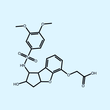 COc1ccc(S(=O)(=O)NC2C(O)CC3Oc4c(OCC(=O)O)cccc4C32)cc1OC